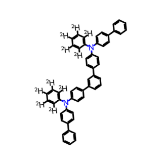 [2H]c1c([2H])c([2H])c(N(c2ccc(-c3ccccc3)cc2)c2ccc(-c3cccc(-c4ccc(N(c5ccc(-c6ccccc6)cc5)c5c([2H])c([2H])c([2H])c([2H])c5[2H])cc4)c3)cc2)c([2H])c1[2H]